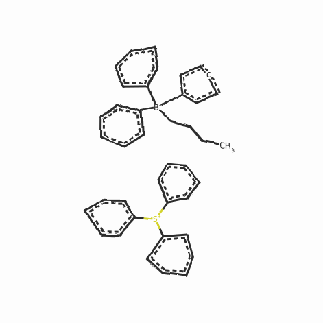 CCCC[B-](c1ccccc1)(c1ccccc1)c1ccccc1.c1ccc([S+](c2ccccc2)c2ccccc2)cc1